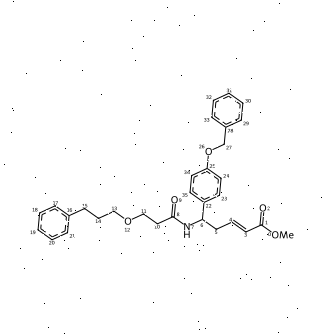 COC(=O)C=CCC(NC(=O)CCOCCCc1ccccc1)c1ccc(OCc2ccccc2)cc1